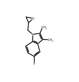 Cc1c(C)n(CC2CO2)c2ccc(F)cc12